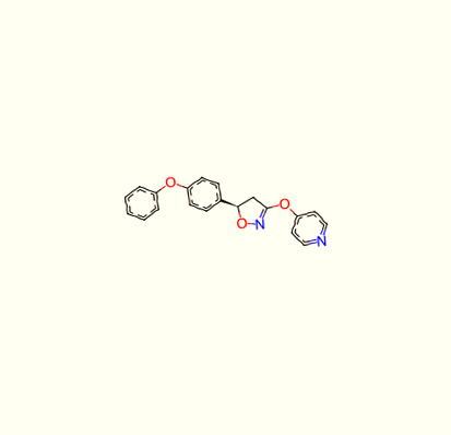 c1ccc(Oc2ccc([C@H]3CC(Oc4ccncc4)=NO3)cc2)cc1